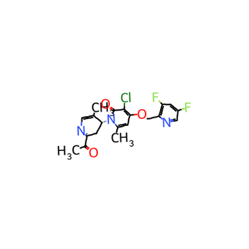 CC(=O)C1=NC=C(C)[C@H](n2c(C)cc(OCc3ncc(F)cc3F)c(Cl)c2=O)C1